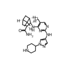 CC1(C)[C@H]2C[C@H](C(N)=O)[C@H](Nc3nc(Nc4cnn(C5CCNCC5)c4)ncc3Cl)[C@@H]1C2